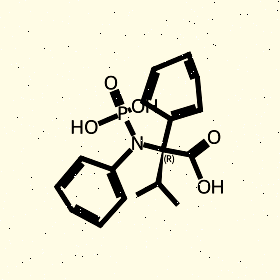 CC(C)[C@](C(=O)O)(c1ccccc1)N(c1ccccc1)P(=O)(O)O